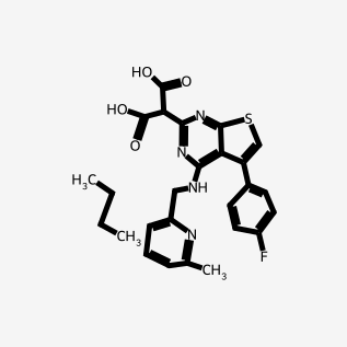 CCCC.Cc1cccc(CNc2nc(C(C(=O)O)C(=O)O)nc3scc(-c4ccc(F)cc4)c23)n1